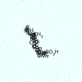 COc1nc(O[C@H]2CCc3c(-c4cccc(-c5cnc6c(CNC[C@@H]7CCC(=O)N7)cn(C)c6n5)c4Cl)cccc32)c(Cl)cc1CN1CC(C(=O)O)C1